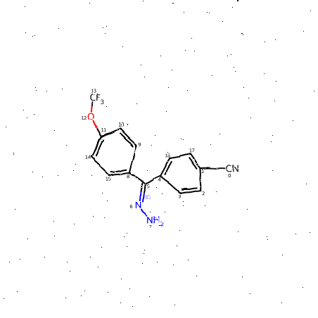 N#Cc1ccc(/C(=N\N)c2ccc(OC(F)(F)F)cc2)cc1